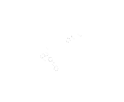 Nc1nccn2c([C@@H]3C[C@H]4COC[C@H]4N3CCOCCOCCOc3ccc4c(c3)CN(C3CCC(=O)NC3=O)C4=O)nc(-c3ccc(C(=O)Nc4ccccn4)cc3)c12